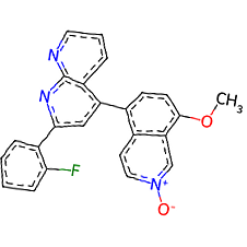 COc1ccc(-c2cc(-c3ccccc3F)nc3ncccc23)c2cc[n+]([O-])cc12